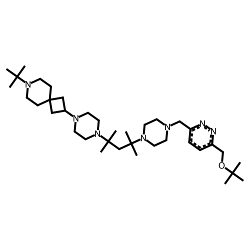 CC(C)(C)OCc1ccc(CN2CCN(C(C)(C)CC(C)(C)N3CCN(C4CC5(CCN(C(C)(C)C)CC5)C4)CC3)CC2)nn1